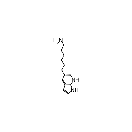 NCCCCCCC1=CNC2NC=CC2=C1